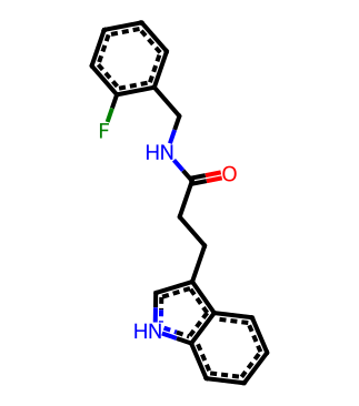 O=C(CCc1c[nH]c2ccccc12)NCc1ccccc1F